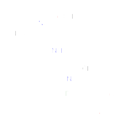 COc1cc(NCC2CCCN(C(C)c3cc4c(cc3F)OCCO4)C2)cc(C)n1